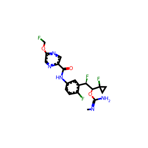 C/N=C(/N)O[C@@H]([C@H](F)c1cc(NC(=O)c2cnc(OCF)cn2)ccc1F)C1(F)CC1